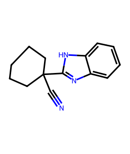 N#CC1(c2nc3ccccc3[nH]2)CCCCC1